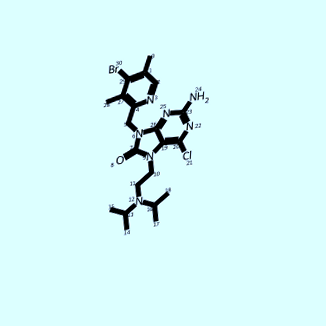 Cc1cnc(Cn2c(=O)n(CCN(C(C)C)C(C)C)c3c(Cl)nc(N)nc32)c(C)c1Br